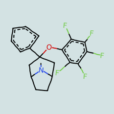 CN1C2CCC1CC(Oc1c(F)c(F)c(F)c(F)c1F)(c1ccccc1)C2